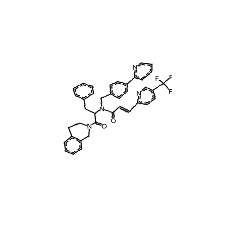 O=C(C(Cc1ccccc1)N(Cc1ccc(-c2ccccn2)cc1)C(=O)C=Cc1ccc(C(F)(F)F)cn1)N1CCc2ccccc2C1